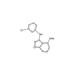 COc1cccc2onc(Nc3cccc(Cl)c3)c12